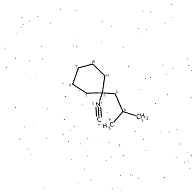 [C-]#[N+]C1(CC(C)C)CCCCC1